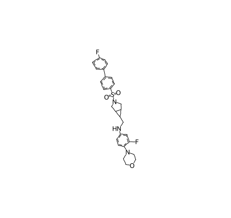 O=S(=O)(c1ccc(-c2ccc(F)cc2)cc1)N1CC2C(CNc3ccc(N4CCOCC4)c(F)c3)C2C1